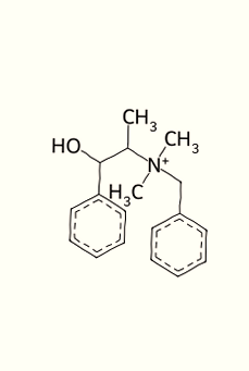 CC(C(O)c1ccccc1)[N+](C)(C)Cc1ccccc1